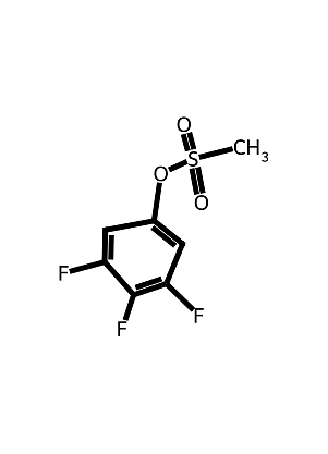 CS(=O)(=O)Oc1cc(F)c(F)c(F)c1